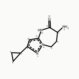 NC1CCn2nc(C3CC3)cc2NC1=O